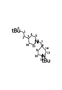 CC(C)(C)CCC1CCN(CC2CCN(C(C)(C)C)CC2)CC1